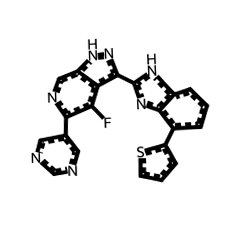 Fc1c(-c2cncnc2)ncc2[nH]nc(-c3nc4c(-c5cccs5)cccc4[nH]3)c12